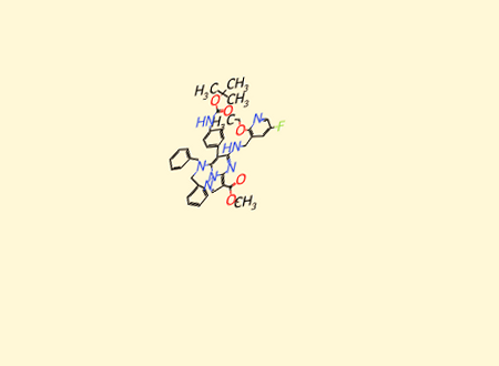 CCOc1ncc(F)cc1CNc1nc2c(C(=O)OC)cnn2c(N(Cc2ccccc2)Cc2ccccc2)c1-c1ccc(NC(=O)OC(C)(C)C)cc1